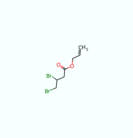 C=CCOC(=O)CC(Br)CBr